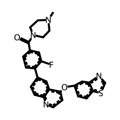 CN1CCN(C(=O)c2ccc(-c3ccc4nccc(Oc5ccc6scnc6c5)c4c3)c(F)c2)CC1